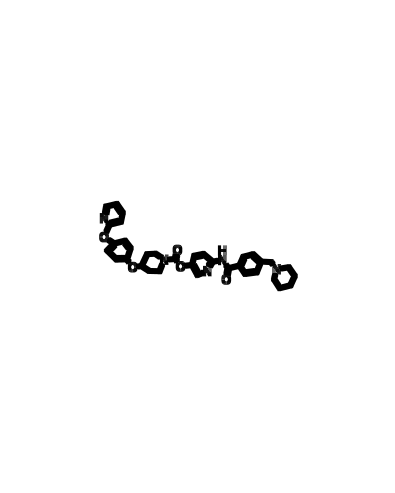 O=C(Nc1ccc(OC(=O)N2CCC(Oc3ccc(Oc4ccccn4)cc3)CC2)cn1)c1ccc(CN2CCCCC2)cc1